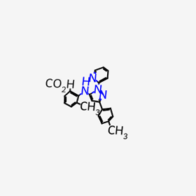 Cc1ccc(-c2cc(Nc3c(C)cccc3C(=O)O)n(-c3ccccn3)n2)cc1